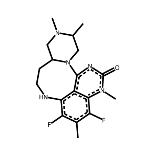 Cc1c(F)c2c3c(nc(=O)n(C)c3c1F)N1CC(C)N(C)CC1CCN2